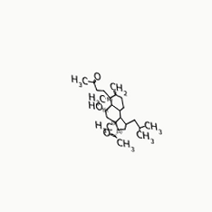 C=C1CCC2C([C@@H](O)C[C@@]3(C)C2C(CC(C)C)C[C@@H]3C(C)=O)[C@@]1(C)CCC(C)=O